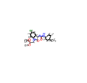 CCOC(CN1C(=O)C(NC(=O)Nc2ccc(C)cc2)c2cc(Br)ccc21)OCC